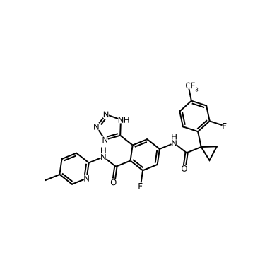 Cc1ccc(NC(=O)c2c(F)cc(NC(=O)C3(c4ccc(C(F)(F)F)cc4F)CC3)cc2-c2nnn[nH]2)nc1